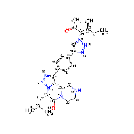 CC[C@H](C)[C@@H](C(C)=O)n1cc(-c2ccc(-c3cn([C@@H](CC(C)C)C(=O)N4CCNCC4)nn3)cc2)nn1